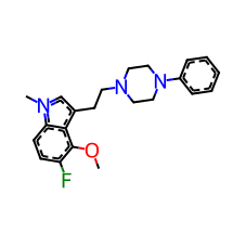 COc1c(F)ccc2c1c(CCN1CCN(c3ccccc3)CC1)cn2C